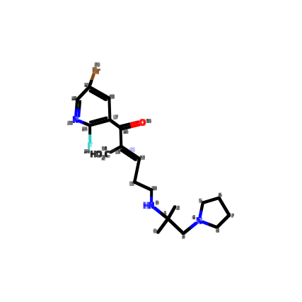 CC(C)(CN1CCCC1)NCC/C=C(\C(=O)O)C(=O)c1cc(Br)cnc1F